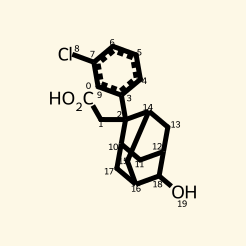 O=C(O)CC1(c2cccc(Cl)c2)C2CC3CC1CC(C2)C3O